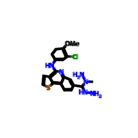 COC1=C(Cl)C=C(Nc2nc3cc(C(NN)N(C)N)ccc3c3sccc23)CC1